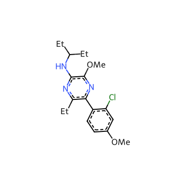 CCc1nc(NC(CC)CC)c(OC)nc1-c1ccc(OC)cc1Cl